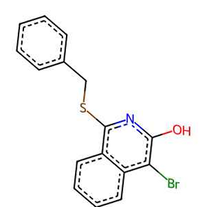 Oc1nc(SCc2ccccc2)c2ccccc2c1Br